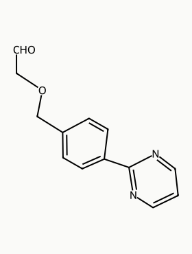 O=CCOCc1ccc(-c2ncccn2)cc1